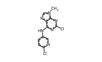 Cn1cnc2c(Nc3ccc(Cl)nc3)nc(Cl)nc21